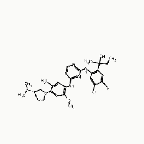 CCC(C)(O)c1cc(F)c(Cl)cc1Nc1ncnc(Nc2cc(N)c(N3CC[C@@H](N(C)C)C3)cc2OC)n1